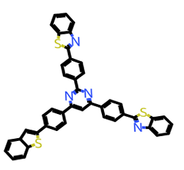 C1=CC2C=C(c3ccc(-c4cc(-c5ccc(-c6nc7ccccc7s6)cc5)nc(-c5ccc(-c6nc7ccccc7s6)cc5)n4)cc3)SC2C=C1